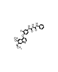 COc1cc2nccc(Oc3ccc(NC(=O)NC(=O)Nc4ccccc4)cc3F)c2cc1OC